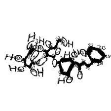 CC1OC(OC2C(Oc3cc(O)c(C(=O)CCc4ccccc4O)c(O)c3)OC(CO)C(O)C2O)C(O)C(O)C1O